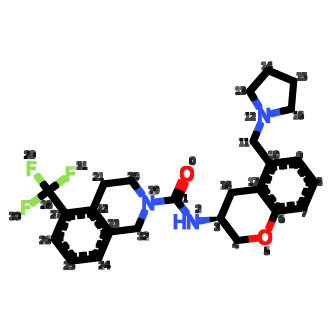 O=C(N[C@@H]1COc2cccc(CN3CCCC3)c2C1)N1CCc2c(cccc2C(F)(F)F)C1